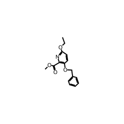 CCOc1ccc(OCc2ccccc2)c(C(=O)OC)n1